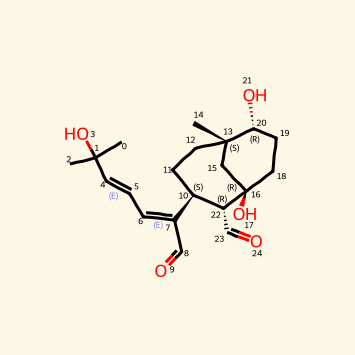 CC(C)(O)/C=C/C=C(/C=O)[C@H]1CC[C@@]2(C)C[C@](O)(CC[C@H]2O)[C@@H]1C=O